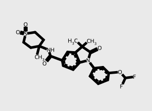 CC1(NC(=O)c2ccc3c(c2)C(C)(C)C(=O)N3c2cccc(OC(F)F)c2)CCS(=O)(=O)CC1